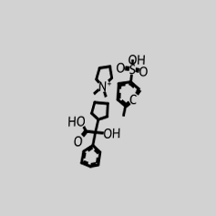 C[N+]1(C)CCCC1.Cc1ccc(S(=O)(=O)O)cc1.O=C(O)C(O)(c1ccccc1)C1CCCC1